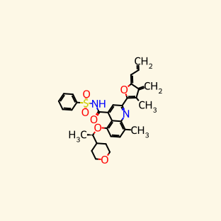 C=C/C=c1/oc(-c2cc(C(=O)NS(=O)(=O)c3ccccc3)c3c(O[C@H](C)C4CCOCC4)ccc(C)c3n2)c(C)c1=C